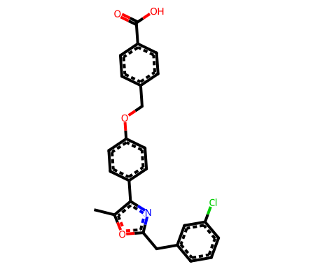 Cc1oc(Cc2cccc(Cl)c2)nc1-c1ccc(OCc2ccc(C(=O)O)cc2)cc1